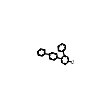 Clc1ccc(-c2ccc(-c3ccccc3)cc2)c(-c2ccccc2)c1